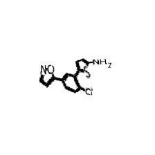 Nc1ccc(-c2cc(-c3ccno3)ccc2Cl)s1